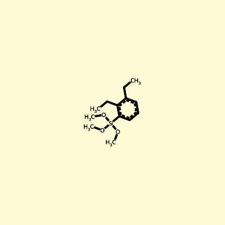 CCc1cccc([Si](OC)(OC)OC)c1CC